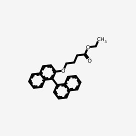 CCOC(=O)CCCOc1ccc2ccccc2c1-c1cccc2ccccc12